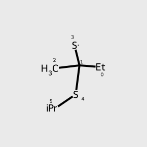 CCC(C)([S])SC(C)C